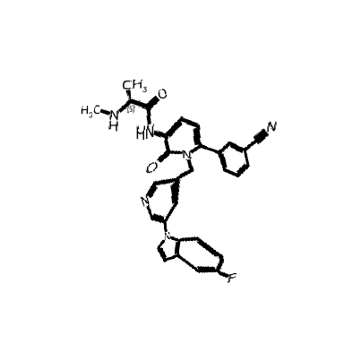 CN[C@@H](C)C(=O)Nc1ccc(-c2cccc(C#N)c2)n(Cc2cncc(-n3ccc4cc(F)ccc43)c2)c1=O